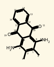 Cc1c(C)c(N)c2c(c1N)C(=O)c1ccccc1C2=O